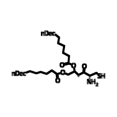 CCCCCCCCCCCCCCCC(=O)OCC([CH]C(=O)[C@@H](N)CS)OC(=O)CCCCCCCCCCCCCCC